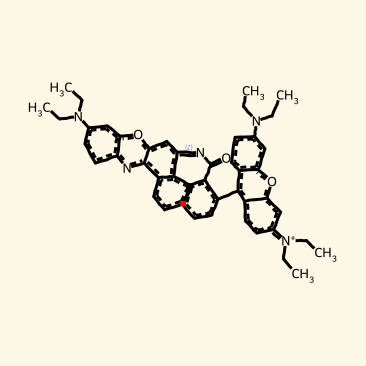 CCN(CC)c1ccc2nc3c4ccccc4/c(=N\C(=O)c4ccccc4-c4c5ccc(=[N+](CC)CC)cc-5oc5cc(N(CC)CC)ccc45)cc-3oc2c1